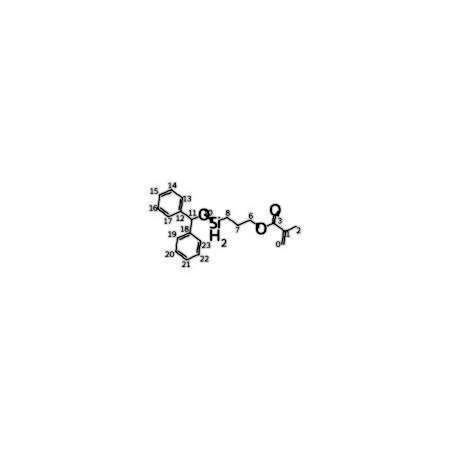 C=C(C)C(=O)OCCC[SiH2]OC(c1ccccc1)c1ccccc1